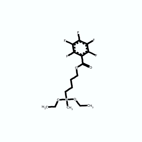 CCO[Si](C)(CCCCOC(=O)c1c(F)c(F)c(F)c(F)c1F)OCC